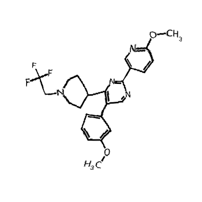 COc1cccc(-c2cnc(-c3ccc(OC)nc3)nc2C2CCN(CC(F)(F)F)CC2)c1